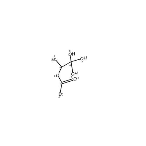 CCC(=O)OC(CC)C(O)(O)O